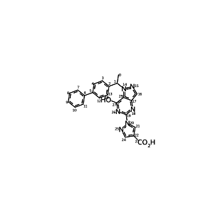 CC(c1ccc(-c2ccccc2)cc1)n1ncc2nc(-n3cc(C(=O)O)cn3)nc(O)c21